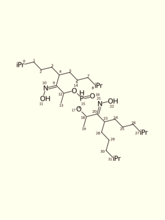 CC(C)CCCC(CCCC(C)C)C(=NO)C(C)O[PH](=O)OC(C)C(=NO)C(CCCC(C)C)CCCC(C)C